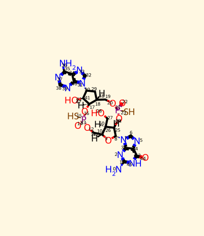 Nc1nc2c(ncn2[C@@H]2O[C@@H]3CO[P@](=O)(S)O[C@@H]4[C@@H](CO[P@@](=O)(S)O[C@@H]2[C@@H]3CO)C[C@@H](n2cnc3c(N)ncnc32)[C@@H]4O)c(=O)[nH]1